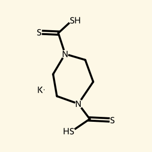 S=C(S)N1CCN(C(=S)S)CC1.[K]